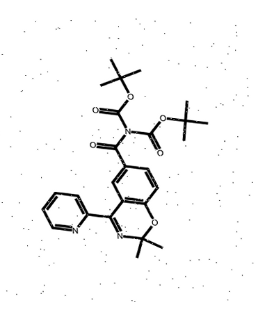 CC(C)(C)OC(=O)N(C(=O)OC(C)(C)C)C(=O)c1ccc2c(c1)C(c1ccccn1)=NC(C)(C)O2